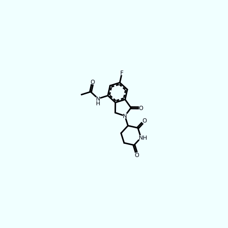 CC(=O)Nc1cc(F)cc2c1CN(C1CCC(=O)NC1=O)C2=O